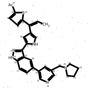 C/C=C(\c1c[nH]c(-c2n[nH]c3ccc(-c4cncc(CN5CCCC5)c4)cc23)c1)c1ccc(C(C)=O)s1